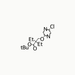 CCC(CC)(COc1cnc(Cl)cn1)C(=O)OC(C)(C)C